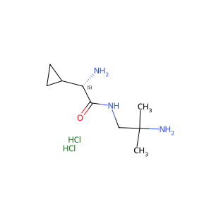 CC(C)(N)CNC(=O)[C@@H](N)C1CC1.Cl.Cl